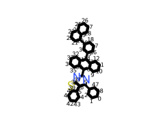 c1ccc(-c2nc(-c3c4ccccc4c(-c4cccc(-c5cccc6ccccc56)c4)c4ccccc34)nc3sc4ccccc4c23)cc1